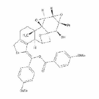 COc1ccc(C(=O)O/C(=C2/OCC3=C2[C@@H]2C4C[C@@]5(O4)[C@H](O)[C@@]4(C(C)C)O[C@H]4[C@@H]4O[C@@]45[C@@]2(C)CC3)c2ccc(OC)cc2)cc1